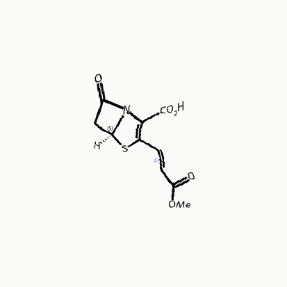 COC(=O)/C=C/C1=C(C(=O)O)N2C(=O)C[C@@H]2S1